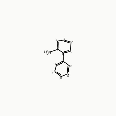 Nc1ccccc1-c1cncnc1